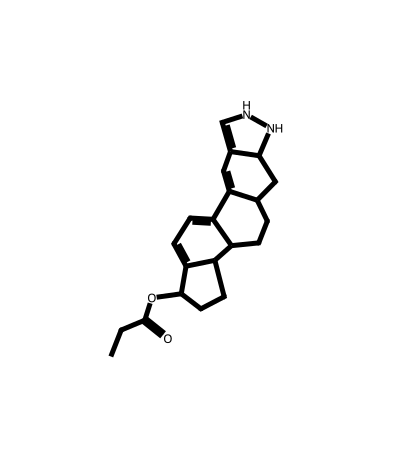 CCC(=O)OC1CCC2C1=CC=C1C3=CC4=CNNC4CC3CCC12